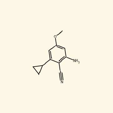 COc1cc(N)c(C#N)c(C2CC2)c1